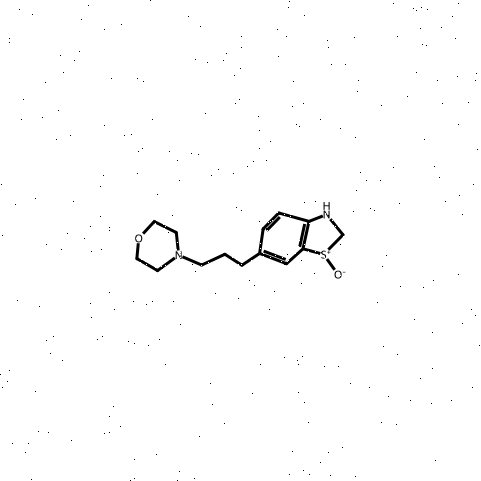 [O-][S+]1CNc2ccc(CCCN3CCOCC3)cc21